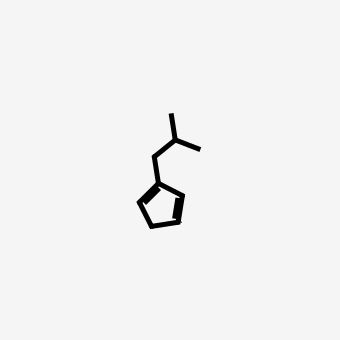 CC(C)CC1=CC[C]=C1